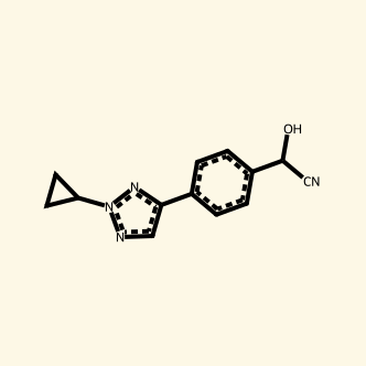 N#CC(O)c1ccc(-c2cnn(C3CC3)n2)cc1